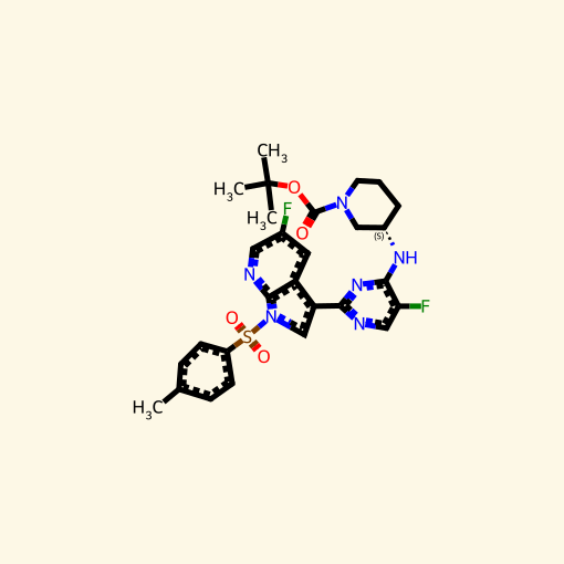 Cc1ccc(S(=O)(=O)n2cc(-c3ncc(F)c(N[C@H]4CCCN(C(=O)OC(C)(C)C)C4)n3)c3cc(F)cnc32)cc1